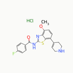 COc1ccc(C2=CCNCC2)c2sc(NC(=O)c3ccc(F)cc3)nc12.Cl